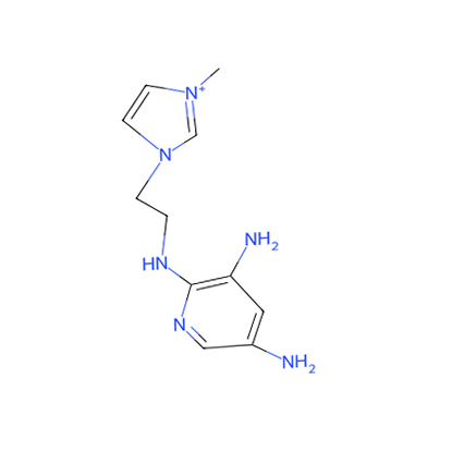 C[n+]1ccn(CCNc2ncc(N)cc2N)c1